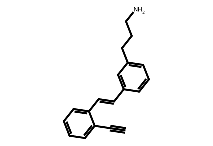 C#Cc1ccccc1C=Cc1cccc(CCCN)c1